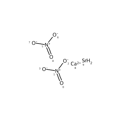 O=[N+]([O-])[O-].O=[N+]([O-])[O-].[Ca+2].[SrH2]